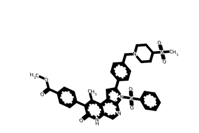 COC(=O)c1ccc(-c2c(C)c3c(cnc4c3cc(-c3ccc(CN5CCC(S(C)(=O)=O)CC5)cc3)n4S(=O)(=O)c3ccccc3)[nH]c2=O)cc1